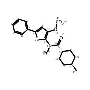 CC(C)N(c1sc(-c2ccccc2)cc1OC(=O)O)C(=O)[C@H]1CC[C@H](C)CC1